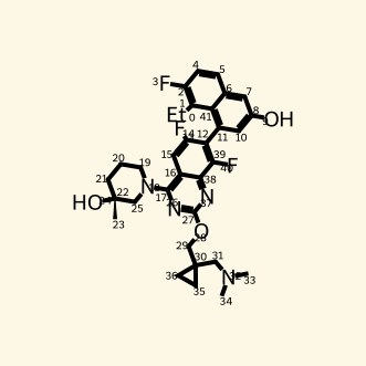 CCc1c(F)ccc2cc(O)cc(-c3c(F)cc4c(N5CCC[C@@](C)(O)C5)nc(OCC5(CN(C)C)CC5)nc4c3F)c12